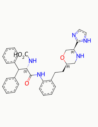 O=C(O)N[C@H](C(=O)Nc1ccccc1CC[C@@H]1CN[C@H](c2ncc[nH]2)CO1)C(c1ccccc1)c1ccccc1